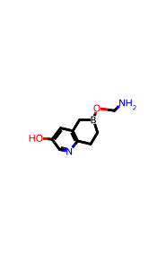 NCOB1CCc2ncc(O)cc2C1